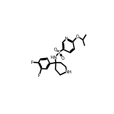 CC(C)Oc1ccc(S(=O)(=O)NC2(c3ccc(F)c(F)c3)CCNCC2)cn1